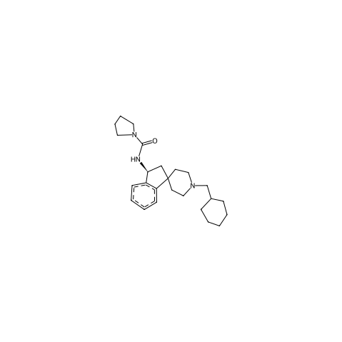 O=C(N[C@H]1CC2(CCN(CC3CCCCC3)CC2)c2ccccc21)N1CCCC1